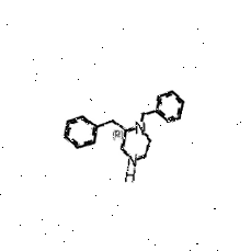 c1ccc(C[C@@H]2CNCCN2Cc2ccccc2)cc1